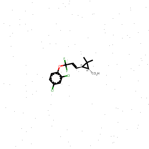 CC1(C)[C@H](C=CC(F)(F)Oc2ccc(Cl)cc2Cl)[C@H]1C(=O)O